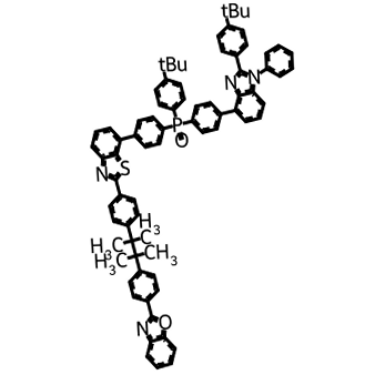 CC(C)(C)c1ccc(-c2nc3c(-c4ccc(P(=O)(c5ccc(-c6cccc7nc(-c8ccc(C(C)(C)C(C)(C)c9ccc(-c%10nc%11ccccc%11o%10)cc9)cc8)sc67)cc5)c5ccc(C(C)(C)C)cc5)cc4)cccc3n2-c2ccccc2)cc1